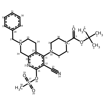 CC(C)(C)OC(=O)N1CCN(c2c(C#N)c(OS(C)(=O)=O)nc3c2CCN(Cc2ccccc2)C3)CC1